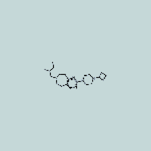 CCC(C)CN1CCc2cnc(N3CCN(C4CCC4)CC3)nc2CC1